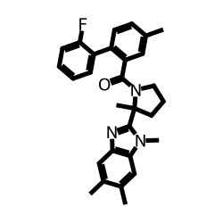 Cc1ccc(-c2ccccc2F)c(C(=O)N2CCCC2(C)c2nc3cc(C)c(C)cc3n2C)c1